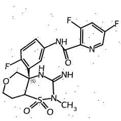 CN1C(=N)N[C@@]2(c3cc(NC(=O)c4ncc(F)cc4F)ccc3F)COCCC2S1(=O)=O